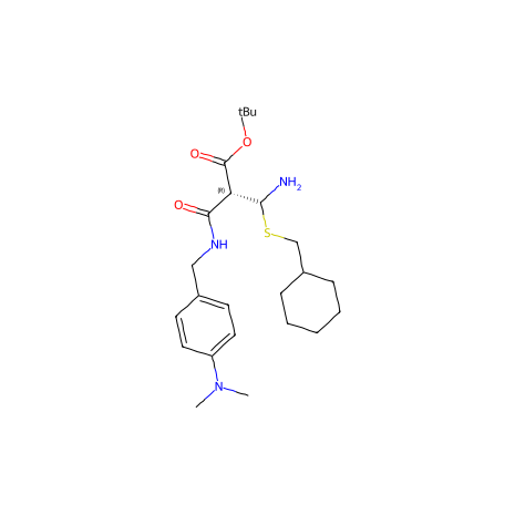 CN(C)c1ccc(CNC(=O)[C@H](C(=O)OC(C)(C)C)C(N)SCC2CCCCC2)cc1